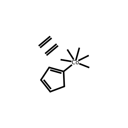 C=C.C=C.[CH3][Co]([CH3])([CH3])([CH3])([CH3])[C]1=CC=CC1